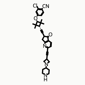 CC1(C)[C@H](C#CC2Cc3nc(C#CC4CN(C5CCNCC5)C4)ccc3C2=O)C(C)(C)[C@H]1Oc1ccc(C#N)c(Cl)c1